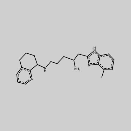 NC(CCCNC1CCCc2cccnc21)Cc1nc2c(F)cccc2[nH]1